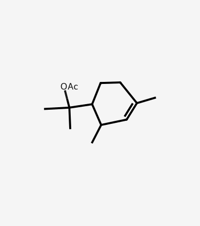 CC(=O)OC(C)(C)C1CCC(C)=CC1C